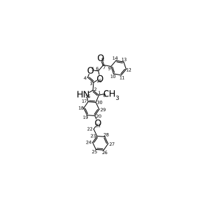 Cc1c(C2=COC(C(=O)c3ccccc3)O2)[nH]c2ccc(OCc3ccccc3)cc12